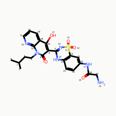 CC(C)CCn1c(=O)c(C2=NS(=O)(=O)c3cc(NC(=O)CN)ccc3N2)c(O)c2cccnc21